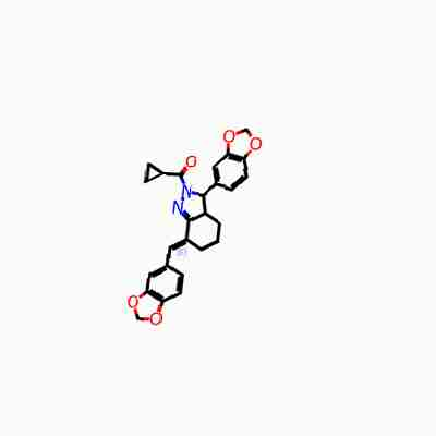 O=C(C1CC1)N1N=C2/C(=C/c3ccc4c(c3)OCO4)CCCC2C1c1ccc2c(c1)OCO2